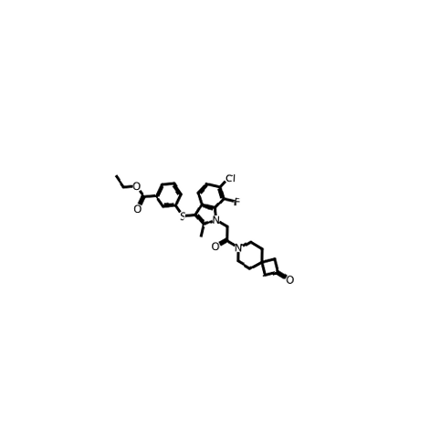 CCOC(=O)c1cccc(Sc2c(C)n(CC(=O)N3CCC4(CC3)CC(=O)C4)c3c(F)c(Cl)ccc23)c1